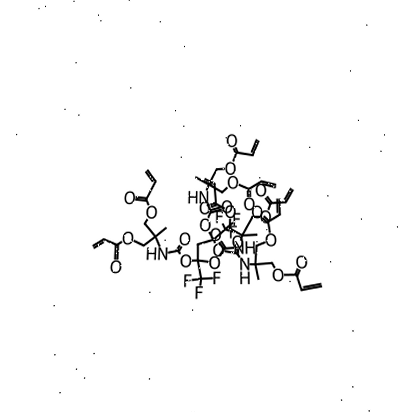 C=CC(=O)OCC(C)(COC(=O)C=C)NC(=O)OC(CC(OC(=O)NC(C)(COC(=O)C=C)COC(=O)C=C)(OC(=O)NC(C)(COC(=O)C=C)COC(=O)C=C)C(F)(F)F)(OC(=O)NC(C)(COC(=O)C=C)COC(=O)C=C)C(F)(F)F